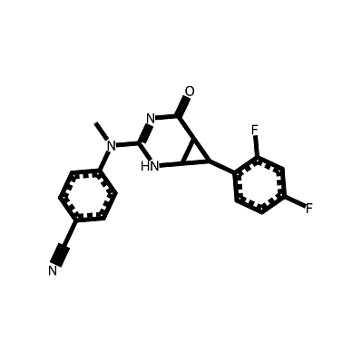 CN(C1=NC(=O)C2C(N1)C2c1ccc(F)cc1F)c1ccc(C#N)cc1